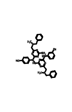 CN(Cc1ccccc1)Cc1nc(Nc2cccc(C#N)c2)nc(NN(c2ccc(C#N)cc2)c2nc(N)nc(CN(C)Cc3ccccc3)n2)n1